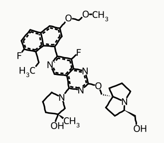 CCc1c(F)ccc2cc(OCOC)cc(-c3ncc4c(N5CCC[C@@](C)(O)C5)nc(OC[C@]56CCCN5[C@@H](CO)CC6)nc4c3F)c12